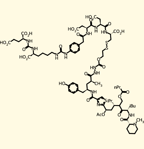 CCCC(=O)OCC(C(=O)[C@@H](NC(=O)[C@H]1CCCCN1C)C(C)CC)[C@H](C[C@@H](OC(C)=O)c1nc(C(=O)N[C@@H](Cc2ccc(O)cc2)C[C@H](C)C(=O)NNC(=O)OCCSSC[C@H](NC(=O)[C@H](CC(=O)O)NC(=O)[C@H](CC(=O)O)NC(=O)Cc2ccc(NC(=O)NCCCC[C@H](NC(=O)N[C@@H](CCC(=O)O)C(=O)O)C(=O)O)cc2)C(=O)O)cs1)C(C)C